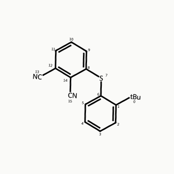 CC(C)(C)c1ccccc1Sc1cccc(C#N)c1C#N